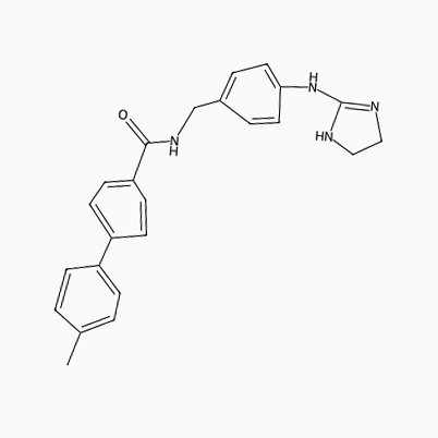 Cc1ccc(-c2ccc(C(=O)NCc3ccc(NC4=NCCN4)cc3)cc2)cc1